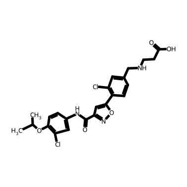 CC(C)Oc1ccc(NC(=O)c2cc(-c3ccc(CNCCC(=O)O)cc3Cl)on2)cc1Cl